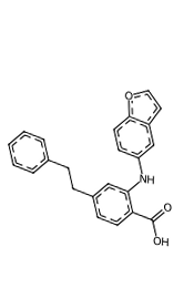 O=C(O)c1ccc(CCc2ccccc2)cc1Nc1ccc2occc2c1